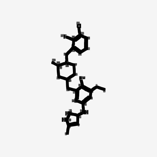 CCc1cc(NC2C=C(C)NN2)nc(CC2CCN(Cc3cccc(Cl)c3F)[C@H](C)C2)c1F